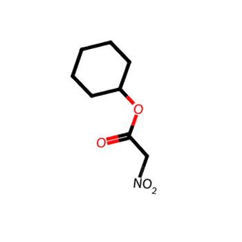 O=C(C[N+](=O)[O-])OC1CCCCC1